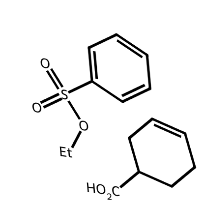 CCOS(=O)(=O)c1ccccc1.O=C(O)C1CC=CCC1